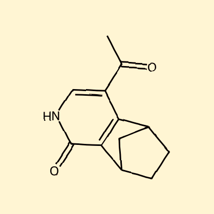 CC(=O)c1c[nH]c(=O)c2c1C1CCC2C1